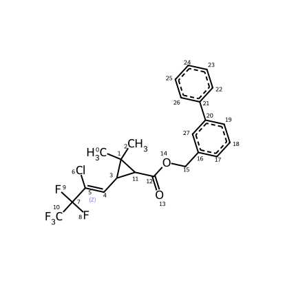 CC1(C)C(/C=C(\Cl)C(F)(F)C(F)(F)F)C1C(=O)OCc1cccc(-c2ccccc2)c1